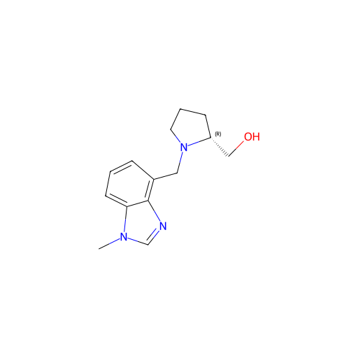 Cn1cnc2c(CN3CCC[C@@H]3CO)cccc21